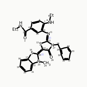 CCNC(=O)c1ccc(NCC)c(/N=C2\S/C(=C3\Sc4ccccc4N3C)C(=O)N2Cc2ccccc2)c1